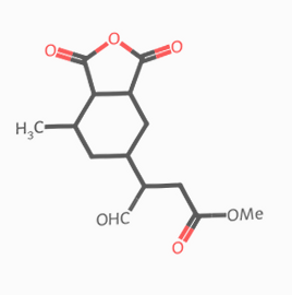 COC(=O)CC(C=O)C1CC(C)C2C(=O)OC(=O)C2C1